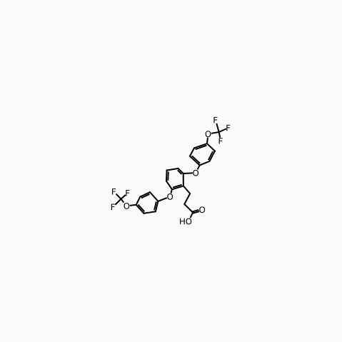 O=C(O)CCc1c(Oc2ccc(OC(F)(F)F)cc2)cccc1Oc1ccc(OC(F)(F)F)cc1